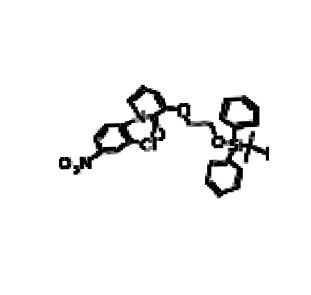 CC(C)(I)[Si](OCCOc1cccn(-c2ccc([N+](=O)[O-])cc2Cl)c1=O)(c1ccccc1)c1ccccc1